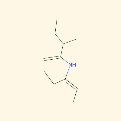 C=C(N/C(=C/C)CC)C(C)CC